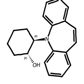 O[C@@H]1CCCC[C@H]1N1c2ccccc2C=Cc2ccccc21